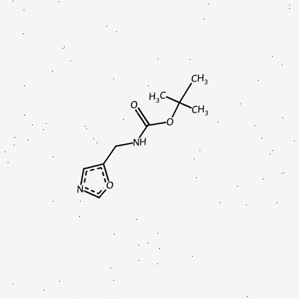 CC(C)(C)OC(=O)NCc1cnco1